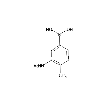 CC(=O)Nc1cc(B(O)O)ccc1C